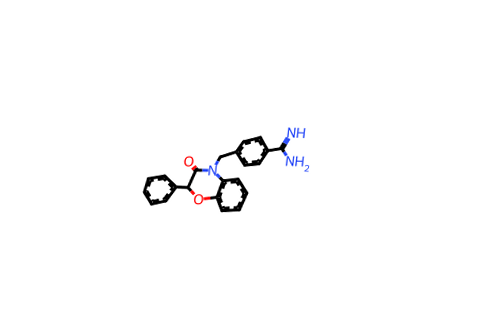 N=C(N)c1ccc(CN2C(=O)C(c3ccccc3)Oc3ccccc32)cc1